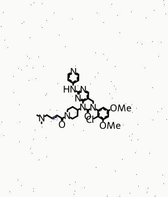 COc1cc(OC)c(Cl)c(N2Cc3cnc(Nc4ccncc4)nc3N(C3CCN(C(=O)/C=C/CN(C)C)CC3)C2=O)c1